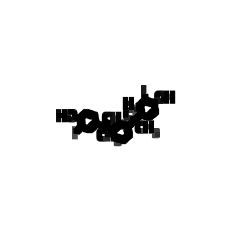 CC(C)(c1cccc(C(C)(C)c2ccc(O)c(I)c2)c1)c1ccc(O)c(I)c1